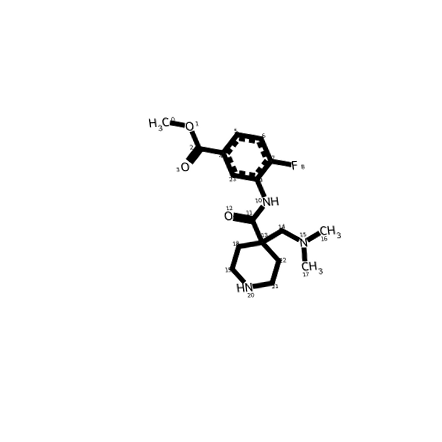 COC(=O)c1ccc(F)c(NC(=O)C2(CN(C)C)CCNCC2)c1